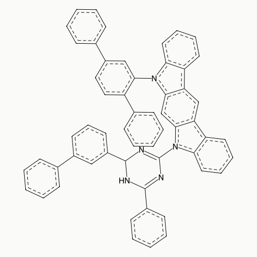 c1ccc(C2=NC(n3c4ccccc4c4cc5c6ccccc6n(-c6cc(-c7ccccc7)ccc6-c6ccccc6)c5cc43)=NC(c3cccc(-c4ccccc4)c3)N2)cc1